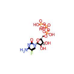 Nc1nc(=O)n([C@@H]2O[C@H](COP(=O)(O)OP(=O)(O)OP(=O)(O)O)[C@H](O)C2O)cc1F